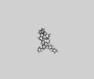 C1=CCC(C2(c3cccc(N(c4ccc(-c5ccccc5)cc4)c4ccc(-c5ccccc5)cc4)c3)c3ccccc3C3(c4ccccc4)c4ccccc4-c4cccc2c43)C=C1